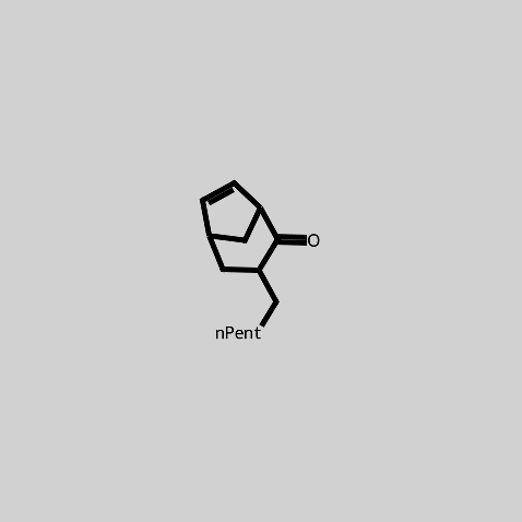 CCCCCCC1CC2C=CC(C2)C1=O